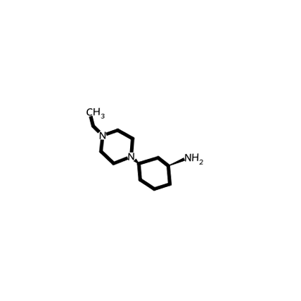 CCN1CCN([C@@H]2CCC[C@H](N)C2)CC1